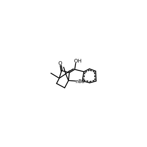 CCCCC12CCC(C)(C(=O)C1=C(O)c1ccccc1)C2(C)C